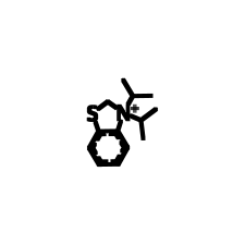 CC(C)[N+]1(C(C)C)CSc2ccccc21